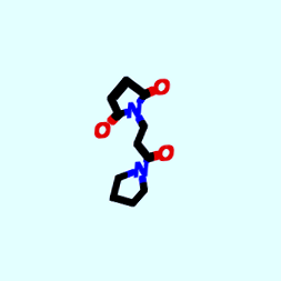 O=C(CCN1C(=O)C=CC1=O)N1CCCC1